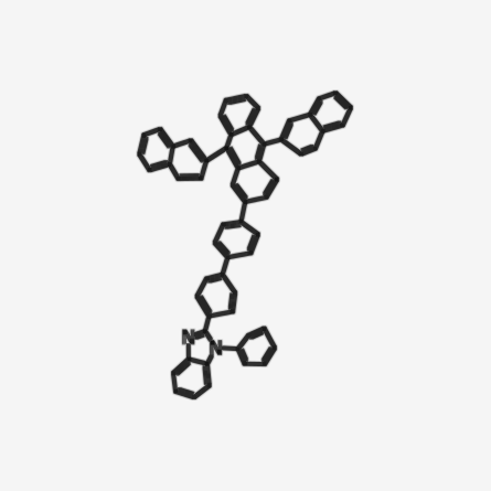 c1ccc(-n2c(-c3ccc(-c4ccc(-c5ccc6c(-c7ccc8ccccc8c7)c7ccccc7c(-c7ccc8ccccc8c7)c6c5)cc4)cc3)nc3ccccc32)cc1